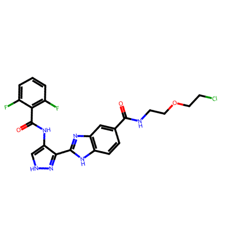 O=C(NCCOCCCl)c1ccc2[nH]c(-c3n[nH]cc3NC(=O)c3c(F)cccc3F)nc2c1